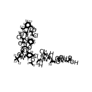 CC(C)Oc1cc(-n2nc(C(C)(C)C)oc2=O)c(Cl)cc1Cl.CC1COc2ccccc2N1C(=O)C(Cl)Cl.CCNc1nc(Cl)nc(NC(C)C)n1.CCc1cccc(C)c1N(C(=O)CCl)C(C)COC.O=C(O)CNCP(=O)(O)O